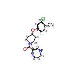 N#Cc1ccc(OC2CCN(C(=O)C3=CN=CCC=N3)CC2)cc1Cl